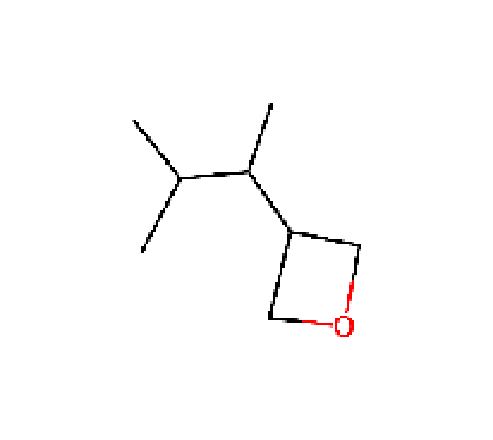 CC(C)C(C)C1COC1